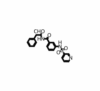 O=CC(Cc1ccccc1)NC(=O)c1cccc(NS(=O)(=O)c2cccnc2)c1